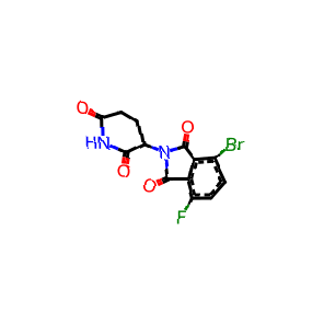 O=C1CCC(N2C(=O)c3c(F)ccc(Br)c3C2=O)C(=O)N1